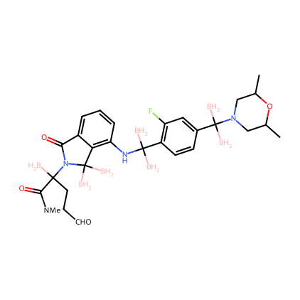 BC(B)(Nc1cccc2c1C(B)(B)N(C(B)(CCC=O)C(=O)NC)C2=O)c1ccc(C(B)(B)N2CC(C)OC(C)C2)cc1F